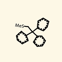 CSCC(c1ccccc1)(c1ccccc1)c1ccccc1